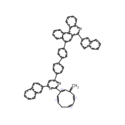 C=C1/C=C\C=C/C/C=C\C(c2nc(-c3ccc(-c4ccc(-c5cc6c(-c7ccc8ccccc8c7)nc7ccccc7c6c6ccccc56)cc4)cc3)cc(-c3ccc4ccccc4c3)n2)=C/1